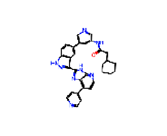 O=C(CC1CCCCC1)Nc1cncc(-c2ccc3[nH]nc(-c4nc5c(-c6ccncc6)ccnc5[nH]4)c3c2)c1